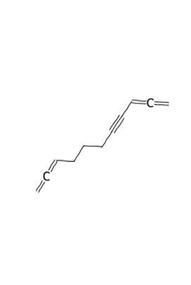 C=C=CC#CCCCC=C=C